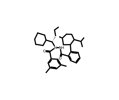 CCC[C@@H](C1CCCCC1)N(NC(=O)c1ccccc1C1CC(C)CCC1C(C)C)C(=O)c1cc(C)cc(C)c1